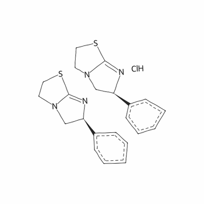 Cl.c1ccc([C@H]2CN3CCSC3=N2)cc1.c1ccc([C@H]2CN3CCSC3=N2)cc1